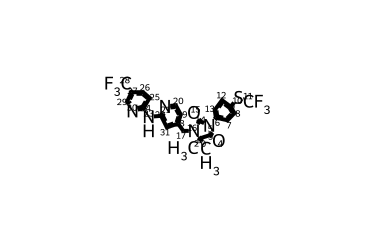 CC1(C)C(=O)N(c2ccc(SC(F)(F)F)cc2)C(=O)N1Cc1ccnc(Nc2ccc(C(F)(F)F)cn2)c1